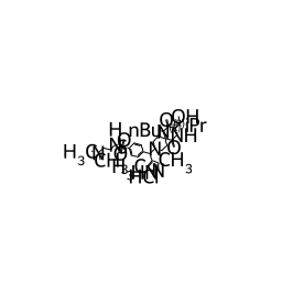 CCCCN1C(=O)[C@@H]([C@H](O)C(C)C)NC(=O)C12CCN(C(c1ccc(S(=O)(=O)NCCN(C)C)cc1)c1c(C)n[nH]c1C)CC2.Cl